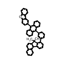 CC1(C)c2ccc3ccccc3c2-c2cccc(-c3cccc(-c4c5ccccc5c(-c5ccc6oc7ccccc7c6c5)c5ccccc45)c3)c21